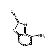 Nc1cccc2c1=NC(=C=O)N=2